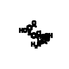 CCC[C@](N)(CCc1ccc(Sc2cc(C(C)=O)ccc2O)cc1Cl)COP(=O)(O)O